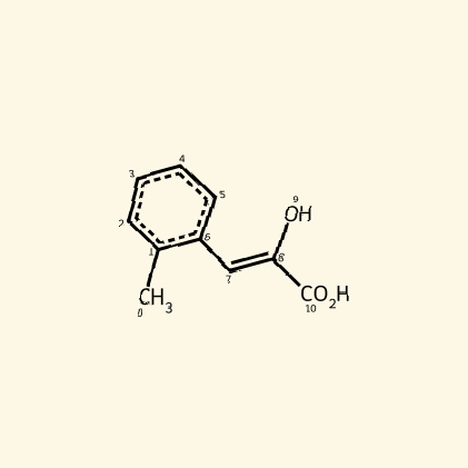 Cc1ccccc1C=C(O)C(=O)O